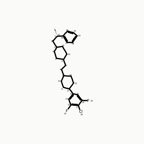 C[C@@H](CC1CCC(CCC2CCC(c3cc(F)c(Cl)c(F)c3)CC2)CC1)c1ccccc1